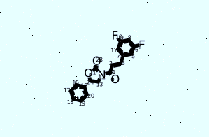 O=C(C=Cc1cc(F)cc(F)c1)N1C[C@H](c2ccccc2)OC1=O